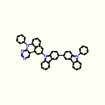 c1ccc(N2c3ncncc3-c3cc(-n4c5ccccc5c5cc(-c6ccc7c(c6)c6ccccc6n7-c6ccccc6)ccc54)cc4cccc2c34)cc1